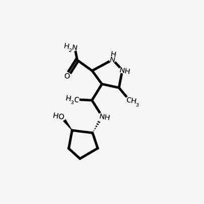 CC1NNC(C(N)=O)C1C(C)N[C@@H]1CCC[C@H]1O